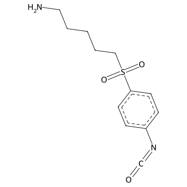 NCCCCCS(=O)(=O)c1ccc(N=C=O)cc1